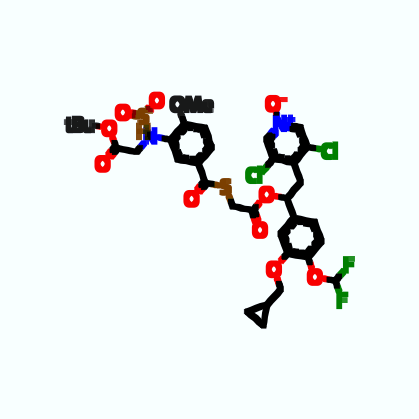 COc1ccc(C(=O)SCC(=O)OC(Cc2c(Cl)c[n+]([O-])cc2Cl)c2ccc(OC(F)F)c(OCC3CC3)c2)cc1N(CC(=O)OC(C)(C)C)[SH](=O)=O